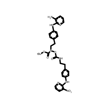 CC(C)(C)OC(=O)N(CCc1ccc(Nc2ncccc2N)cc1)OC(=O)NCCc1ccc(Nc2ncccc2[N+](=O)[O-])cc1